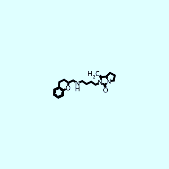 C=C1C2CCCN2C(=O)N1CCCCNCC1CCc2ccccc2O1